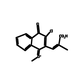 C/[O+]=C1/C(/C=C(/C)C(=O)O)=C(Cl)C(=O)c2ccccc21